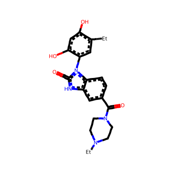 CCc1cc(-n2c(=O)[nH]c3cc(C(=O)N4CCN(CC)CC4)ccc32)c(O)cc1O